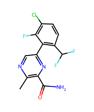 Cc1ncc(-c2c(C(F)F)ccc(Cl)c2F)nc1C(N)=O